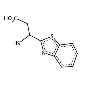 O=C(O)CC(S)c1nc2ccccc2s1